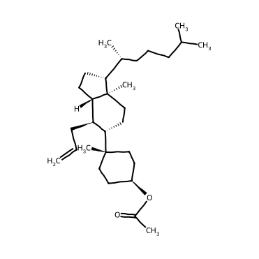 C=CC[C@H]1[C@@H]2CC[C@H]([C@H](C)CCCC(C)C)[C@@]2(C)CC[C@@H]1[C@]1(C)CC[C@@H](OC(C)=O)CC1